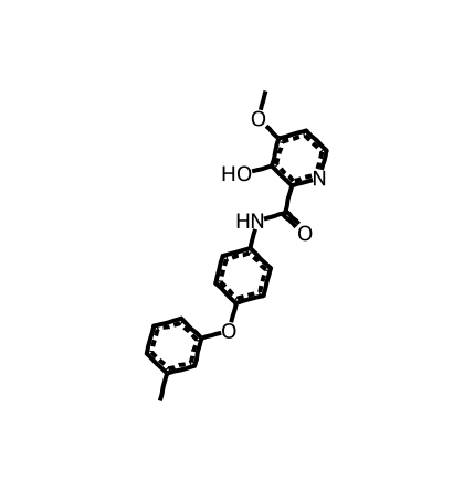 COc1ccnc(C(=O)Nc2ccc(Oc3cccc(C)c3)cc2)c1O